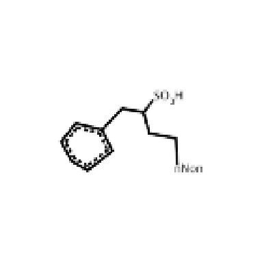 CCCCCCCCCCCC(Cc1ccccc1)S(=O)(=O)O